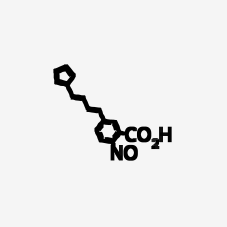 O=Nc1ccc(/C=C/C=C/C2=C=C=C=C2)cc1C(=O)O